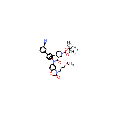 COCCCN1C(=O)COc2ccc(N(C(=O)[C@H]3CN(C(=O)OC(C)(C)C)CC[C@@H]3c3cccc(-c4cccc(C#N)c4)c3)C3CC3)cc21